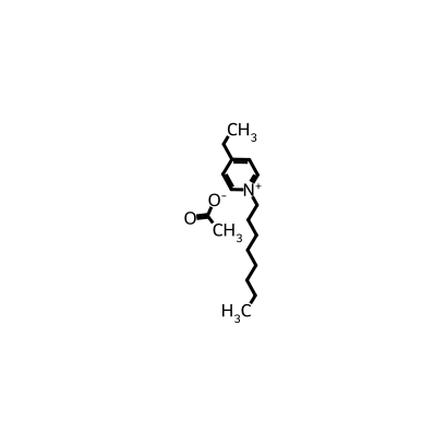 CC(=O)[O-].CCCCCCCC[n+]1ccc(CC)cc1